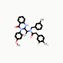 CCOc1ccc(N2C(=O)c3ccccc3NC2C(C)N(Cc2cccc(C#N)c2)C(=O)Cc2ccc(C(F)(F)F)c(F)c2)cc1